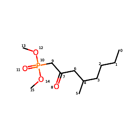 CCCCC(C)CC(=O)CP(=O)(OC)OC